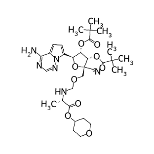 C[C@H](NCOC[C@@]1(C#N)O[C@@H](c2ccc3c(N)ncnn23)[C@H](OC(=O)C(C)(C)C)[C@@H]1OC(=O)C(C)(C)C)C(=O)OC1CCOCC1